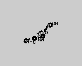 O=C(/C=C/CN1CCC(O)CC1)N1CCOc2c1ccc1ncnc(Nc3ccc(OCc4ccccn4)c(Cl)c3)c21